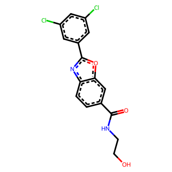 O=C(NCCO)c1ccc2nc(-c3cc(Cl)cc(Cl)c3)oc2c1